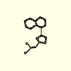 ClC(Cl)=Cc1ccc(-c2cccc3ccccc23)s1